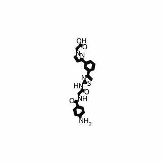 Nc1ccc(C(=O)NCC(=O)Nc2nc(-c3cccc(-c4ccn(CC(=O)O)n4)c3)cs2)cc1